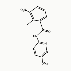 COc1ccc(NC(=O)c2cccc([N+](=O)[O-])c2C)nn1